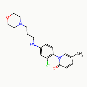 Cc1ccc(=O)n(-c2ccc(NCCCN3CCOCC3)cc2Cl)c1